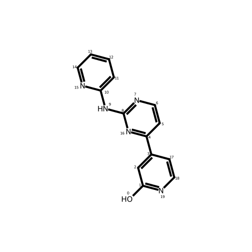 Oc1cc(-c2ccnc(Nc3ccccn3)n2)ccn1